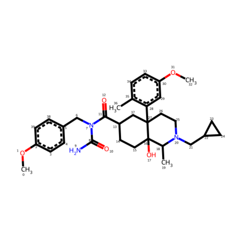 COc1ccc(CN(C(N)=O)C(=O)C2CCC3(O)C(C)N(CC4CC4)CCC3(c3cc(OC)ccc3C)C2)cc1